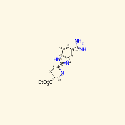 CCOC(=O)c1ccc(-c2nc3cc(C(=N)N)ccc3[nH]2)nc1